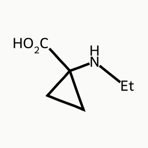 CCNC1(C(=O)O)CC1